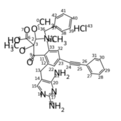 COC1C(OC)(C(=O)O)C(=O)c2c(Cc3cnc(N)nc3N)cc(C#Cc3ccccc3)cc2[N+]1(C)Cc1ccccc1.Cl